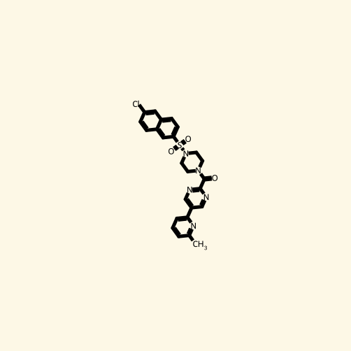 Cc1cccc(-c2cnc(C(=O)N3CCN(S(=O)(=O)c4ccc5cc(Cl)ccc5c4)CC3)nc2)n1